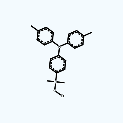 CCO[Si](C)(C)c1ccc(N(c2ccc(C)cc2)c2ccc(C)cc2)cc1